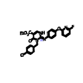 CCOC(=O)c1c[nH]/c(=N\c2ccc(Oc3cccc(F)n3)cc2)n(Cc2ccc(Cl)cc2)c1=O